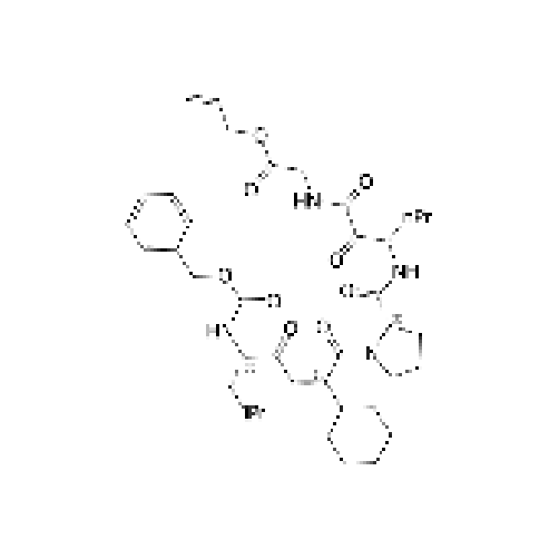 C=CCOC(=O)CNC(=O)C(=O)C(CCC)NC(=O)[C@@H]1CCCN1C(=O)[C@@H](CC(=O)[C@H](CC(C)C)NC(=O)OCc1ccccc1)C1CCCCC1